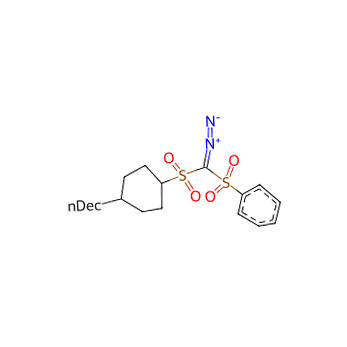 CCCCCCCCCCC1CCC(S(=O)(=O)C(=[N+]=[N-])S(=O)(=O)c2ccccc2)CC1